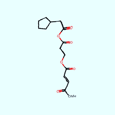 COC(=O)C=CC(=O)OCCC(=O)OC(=O)CC1CCCC1